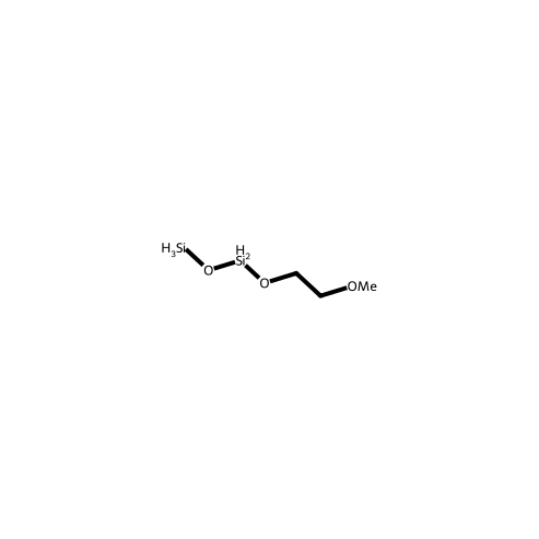 COCCO[SiH2]O[SiH3]